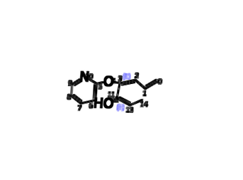 C=C/C=C(Oc1ccccn1)\C(O)=C/C